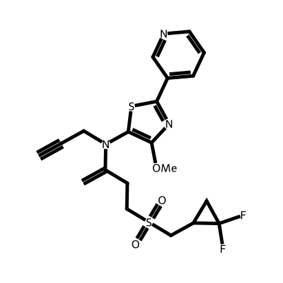 C#CCN(C(=C)CCS(=O)(=O)CC1CC1(F)F)c1sc(-c2cccnc2)nc1OC